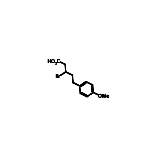 COc1ccc(CCC(Br)CC(=O)O)cc1